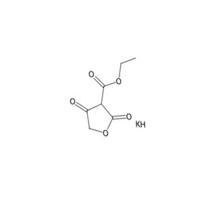 CCOC(=O)C1C(=O)COC1=O.[KH]